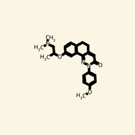 COc1ccc(-n2nc3c(cc2=O)CCc2ccc(OC(C)CN(C)C)cc2-3)cc1